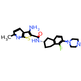 Cc1ccc2c(N)c(C(=O)N[C@H]3CCc4c(ccc(N5CCNCC5)c4F)C3)sc2n1